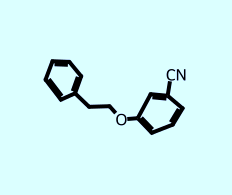 N#Cc1cccc(OCCc2ccccc2)c1